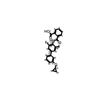 O=C(O)c1ccccc1C(=O)Nc1c(F)cc(-c2cccc(OC3CC3)c2)cc1F